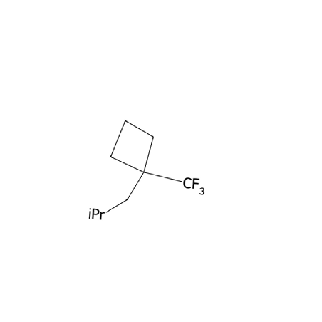 CC(C)CC1(C(F)(F)F)CCC1